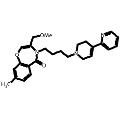 COCC1=COc2cc(C)ccc2C(=O)N1CCCCN1CC=C(c2ccccn2)CC1